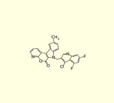 Cc1ccc2c(c1)c1c3cccnc3oc(=O)c1n2Cc1cnc2cc(F)cc(F)c2c1Cl